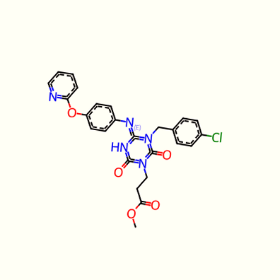 COC(=O)CCn1c(=O)[nH]/c(=N\c2ccc(Oc3ccccn3)cc2)n(Cc2ccc(Cl)cc2)c1=O